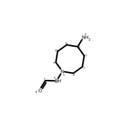 NC1CCCN(BC=O)CCC1